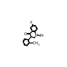 Cc1ccccc1C1CN(C(C)C)c2ccc(F)cc2C1=O